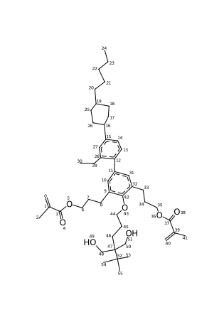 C=C(C)C(=O)OCCCc1cc(-c2ccc(C3CCC(CCCCC)CC3)cc2CC)cc(CCCOC(=O)C(=C)C)c1OCCCC(CO)(CO)C(C)(C)C